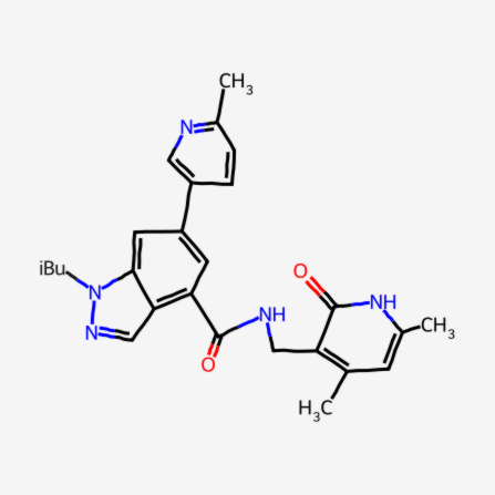 CCC(C)n1ncc2c(C(=O)NCc3c(C)cc(C)[nH]c3=O)cc(-c3ccc(C)nc3)cc21